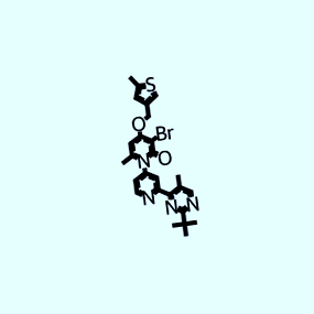 Cc1cc(COc2cc(C)n(-c3ccnc(-c4nc(C(C)(C)C)ncc4C)c3)c(=O)c2Br)cs1